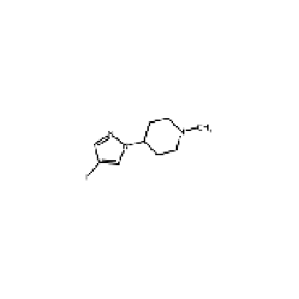 CN1CCC(n2cc(I)cn2)CC1